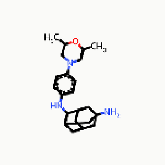 CC1CN(c2ccc(NC3C4CC5CC3CC(N)(C5)C4)cc2)CC(C)O1